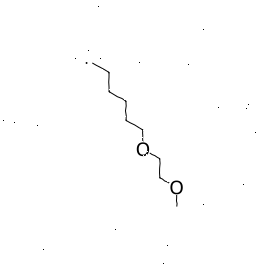 [CH2]CCCCCOCCOC